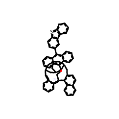 C1=c2cccc/c2=C(/CCc2c3ccccc3c(-c3ccc4sc5ccccc5c4c3)c3ccccc23)c2c(ccc3ccccc23)CC2CC3CC1CC(C2)C3